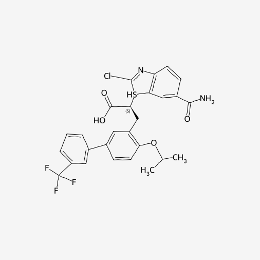 CC(C)Oc1ccc(-c2cccc(C(F)(F)F)c2)cc1C[C@@H](C(=O)O)[SH]1C(Cl)=Nc2ccc(C(N)=O)cc21